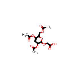 CC(=O)OCC1OC(OCC(=O)O)C(OC(C)=O)C=C1OC(C)=O